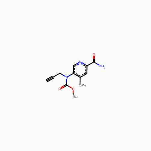 C#CCN(C(=O)OC(C)(C)C)c1cnc(C(N)=O)cc1OC